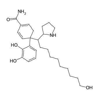 NC(=O)C1=CCC(c2cccc(O)c2O)(C(CCCCCCCCCO)C2CCCN2)C=C1